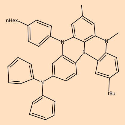 CCCCCCc1ccc(N2c3cc(N(c4ccccc4)c4ccccc4)ccc3B3c4cc(C(C)(C)C)ccc4N(C)c4cc(C)cc2c43)cc1